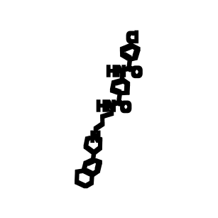 O=C(NCCCCN1CCC(c2ccc3c(c2)CCCC3)CC1)c1ccc(NC(=O)c2ccc(Cl)cc2)cc1